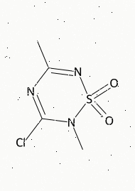 CC1=NS(=O)(=O)N(C)C(Cl)=N1